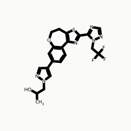 CC(O)Cn1cc(-c2ccc3c(c2)OCCc2sc(-c4ncnn4CC(F)(F)F)nc2-3)cn1